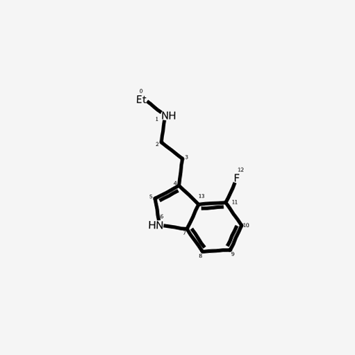 CCNCCc1c[nH]c2cccc(F)c12